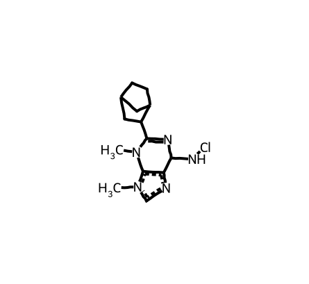 CN1C(C2CC3CCC2C3)=NC(NCl)c2ncn(C)c21